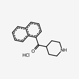 Cl.O=C(c1cccc2ccccc12)C1CCNCC1